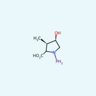 C[C@@H]1C(C(=O)O)N(P)C[C@@H]1O